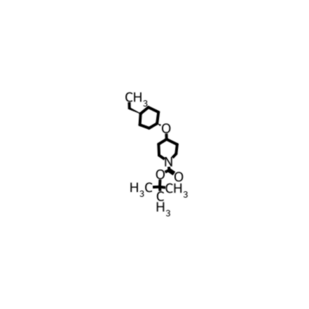 CC[C@H]1CC[C@H](OC2CCN(C(=O)OC(C)(C)C)CC2)CC1